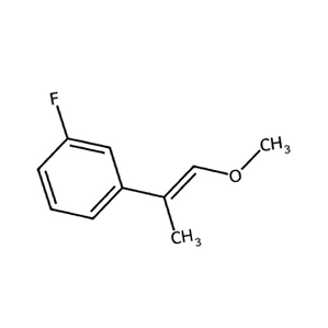 COC=C(C)c1cccc(F)c1